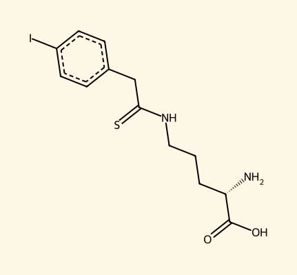 N[C@@H](CCCNC(=S)Cc1ccc(I)cc1)C(=O)O